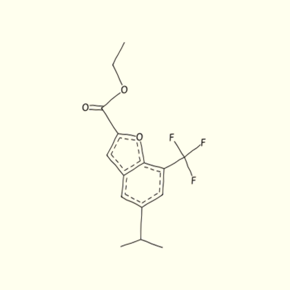 CCOC(=O)c1cc2cc(C(C)C)cc(C(F)(F)F)c2o1